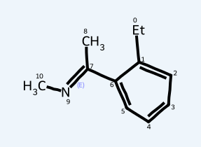 CCc1ccccc1/C(C)=N/C